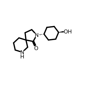 O=C1N([C@H]2CC[C@H](O)CC2)CCC12CCCNC2